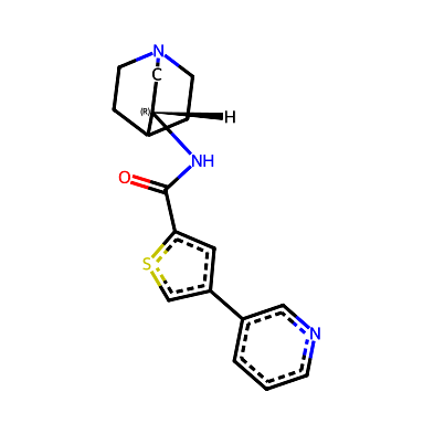 O=C(N[C@H]1CN2CCC1CC2)c1cc(-c2cccnc2)cs1